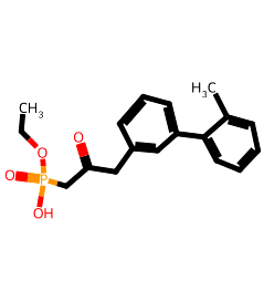 CCOP(=O)(O)CC(=O)Cc1cccc(-c2ccccc2C)c1